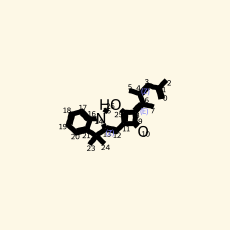 C=C(C)/C=C(C)\C(C)=C1\C(=O)C(/C=C2\N(C)c3ccccc3C2(C)C)=C1O